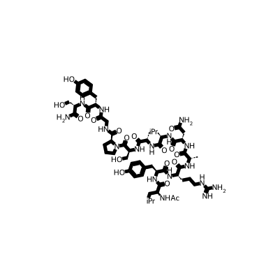 CC(=O)N[C@@H](CC(C)C)C(=O)N[C@@H](Cc1ccc(O)cc1)C(=O)N[C@@H](CCCNC(=N)N)C(=O)N[C@@H](C)C(=O)N[C@@H](CC(N)=O)C(=O)N[C@H](C(=O)N[C@@H](C)C(=O)N[C@@H](CO)C(=O)N1CCC[C@H]1C(=O)NCC(=O)N[C@@H](Cc1ccc(O)cc1)C(=O)N[C@@H](CO)C(N)=O)C(C)C